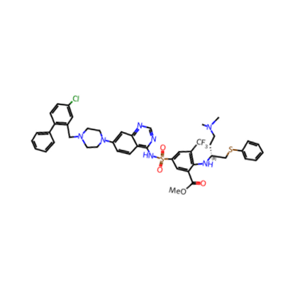 COC(=O)c1cc(S(=O)(=O)Nc2ncnc3cc(N4CCN(Cc5cc(Cl)ccc5-c5ccccc5)CC4)ccc23)cc(C(F)(F)F)c1N[C@H](CCN(C)C)CSc1ccccc1